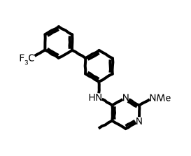 CNc1ncc(C)c(Nc2cccc(-c3cccc(C(F)(F)F)c3)c2)n1